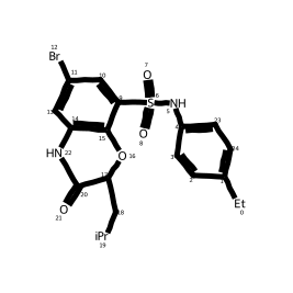 CCc1ccc(NS(=O)(=O)c2cc(Br)cc3c2OC(CC(C)C)C(=O)N3)cc1